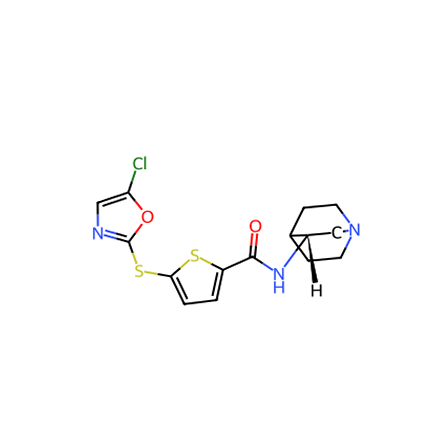 O=C(N[C@H]1CN2CCC1CC2)c1ccc(Sc2ncc(Cl)o2)s1